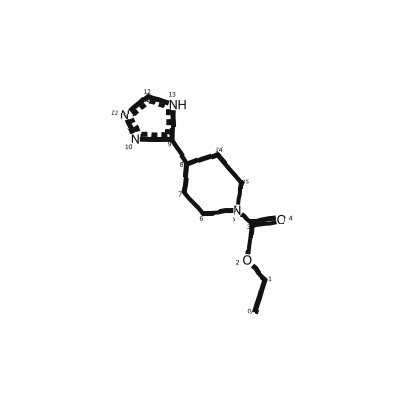 CCOC(=O)N1CCC(c2nnc[nH]2)CC1